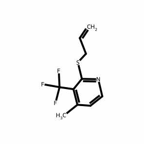 C=CCSc1nccc(C)c1C(F)(F)F